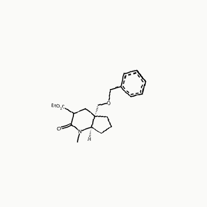 CCOC(=O)C1C[C@@]2(COCc3ccccc3)CCC[C@H]2N(C)C1=O